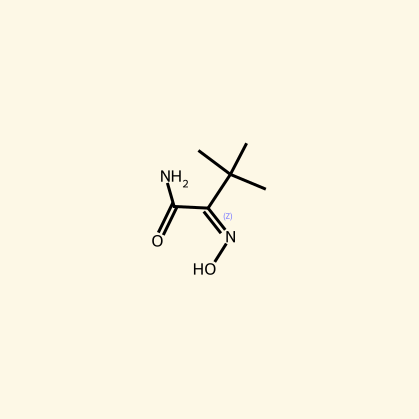 CC(C)(C)/C(=N/O)C(N)=O